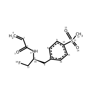 C=CC(=O)N[C@@H]([CH]c1ccc(S(C)(=O)=O)cc1)CF